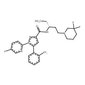 O=C(O)C[C@H](CCN1CCCC(F)(F)C1)NC(=O)c1cc(-c2ccccc2C(F)(F)F)n(-c2ccc(F)cn2)n1